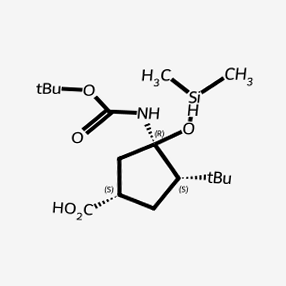 C[SiH](C)O[C@]1(NC(=O)OC(C)(C)C)C[C@@H](C(=O)O)C[C@H]1C(C)(C)C